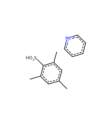 Cc1cc(C)c(S(=O)(=O)O)c(C)c1.c1ccncc1